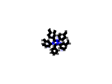 C=C/C=C\C(=C/C=C)c1n(C(/C=C\C=C)=C/C=C)c(-c2ccccc2)[n+](C(/C=C\C)=C/C=C\C)[n+]1C(/C=C\C=C)=C/C